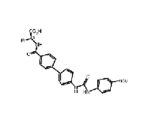 CCCCc1ccc(NC(=O)Nc2ccc(-c3ccc(C(=O)N[C@H](C(=O)O)C(C)C)cc3)cc2)cc1